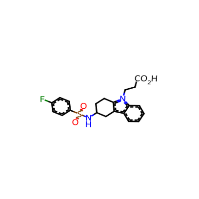 O=C(O)CCn1c2c(c3ccccc31)CC(NS(=O)(=O)c1ccc(F)cc1)CC2